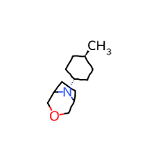 C[C@H]1CC[C@H](N2C3CCC2COC3)CC1